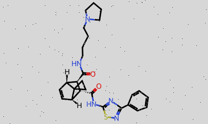 O=C(NCCCCN1CCCC1)[C@H]1[C@H](C(=O)Nc2nc(-c3ccccc3)ns2)[C@@H]2C=C[C@H]1C21CC1